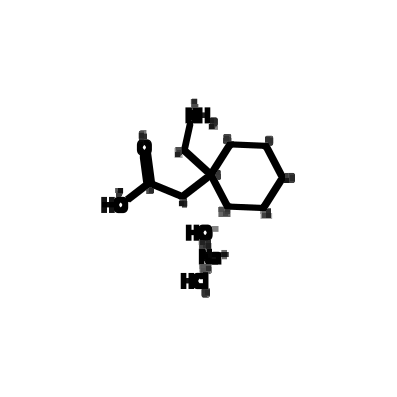 Cl.NCC1(CC(=O)O)CCCCC1.[Na+].[OH-]